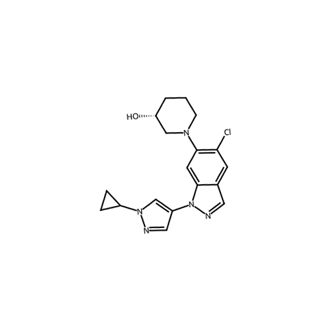 O[C@@H]1CCCN(c2cc3c(cnn3-c3cnn(C4CC4)c3)cc2Cl)C1